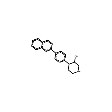 OC1CNCCC1c1ccc(-c2c[c]c3ccccc3n2)cn1